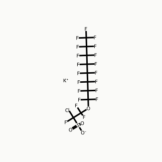 O=S(=O)([O-])C(F)(Cl)C(F)(F)OC(F)(F)C(F)(F)C(F)(F)C(F)(F)C(F)(F)C(F)(F)C(F)(F)C(F)(F)F.[K+]